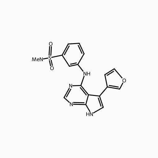 CNS(=O)(=O)c1cccc(Nc2ncnc3[nH]cc(-c4ccoc4)c23)c1